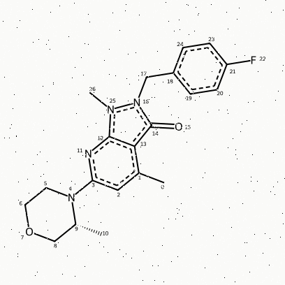 Cc1cc(N2CCOC[C@H]2C)nc2c1c(=O)n(Cc1ccc(F)cc1)n2C